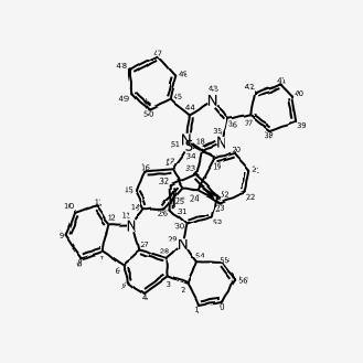 C1=CC2c3ccc4c5ccccc5n(-c5ccc6sc7ccccc7c6c5)c4c3N(c3ccc(-c4nc(-c5ccccc5)nc(-c5ccccc5)n4)cc3)C2C=C1